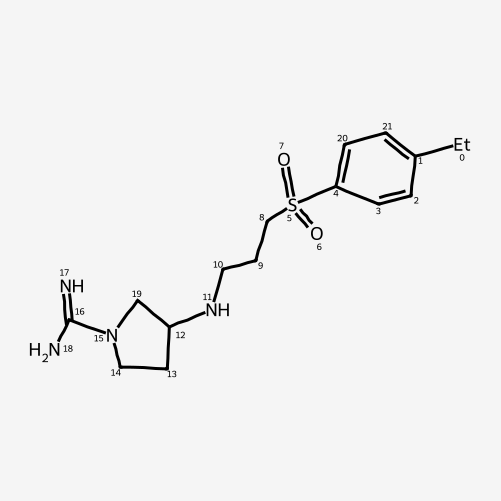 CCc1ccc(S(=O)(=O)CCCNC2CCN(C(=N)N)C2)cc1